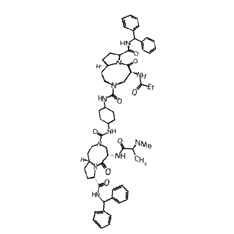 CCC(=O)N[C@H]1CN(C(=O)NC2CCC(NC(=O)N3CC[C@H]4CC[C@@H](C(=O)NC(c5ccccc5)c5ccccc5)N4C(=O)[C@@H](NC(=O)[C@H](C)NC)C3)CC2)CC[C@H]2CCC(C(=O)NC(c3ccccc3)c3ccccc3)N2C1=O